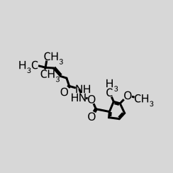 COc1cccc(C(=O)ONNC(=O)CC=CC(C)(C)C)c1C